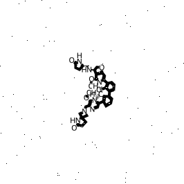 COc1nc(-c2cccc(-c3cccc(-c4cc5c(c(OC)n4)[C@@H](NC[C@@H]4CCC(=O)N4)CO5)c3Cl)c2C)cnc1CN1CC2(CCC(=O)N2)C1